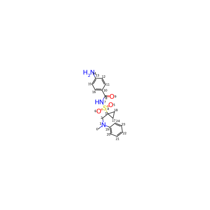 CN(CC1(S(=O)(=O)NC(=O)c2ccc(N)cc2)CC1)c1ccccc1